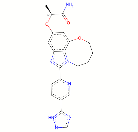 C[C@H](Oc1cc2c3c(c1)nc(-c1ccc(-c4ncn[nH]4)cn1)n3CCCCO2)C(N)=O